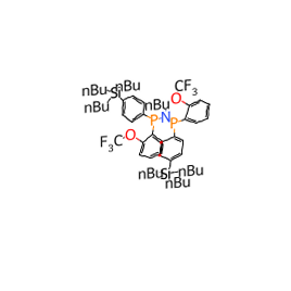 CCCCN(P(c1ccc([Si](CCCC)(CCCC)CCCC)cc1)c1ccccc1OC(F)(F)F)P(c1ccc([Si](CCCC)(CCCC)CCCC)cc1)c1ccccc1OC(F)(F)F